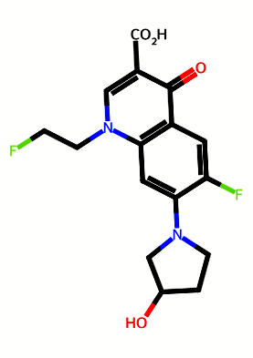 O=C(O)c1cn(CCF)c2cc(N3CCC(O)C3)c(F)cc2c1=O